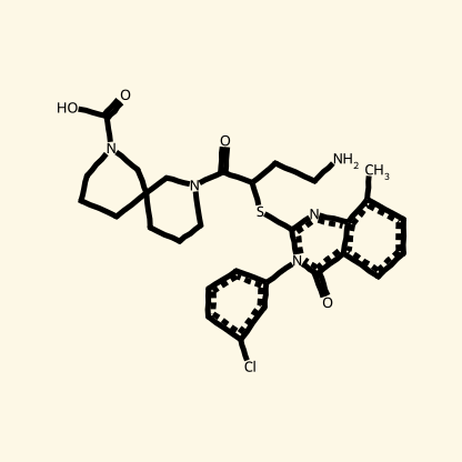 Cc1cccc2c(=O)n(-c3cccc(Cl)c3)c(SC(CCN)C(=O)N3CCCC4(CCCN(C(=O)O)C4)C3)nc12